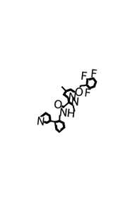 Cc1cc(OCc2c(F)ccc(F)c2F)n2nc(C)c(C(=O)NCc3ccccc3-c3cccnc3)c2c1